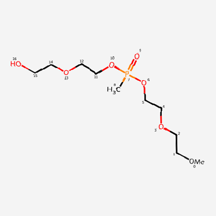 COCCOCCOP(C)(=O)OCCOCCO